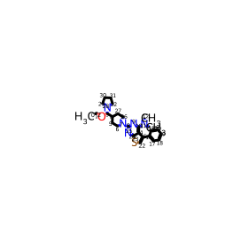 CCOC(C1CCN(c2nc(N(C)C)c3c(-c4ccccc4)csc3n2)CC1)N1CCCC1